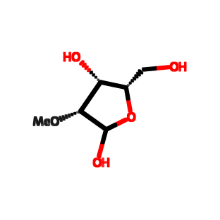 CO[C@H]1C(O)O[C@@H](CO)[C@H]1O